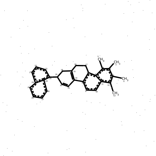 Cc1c(C)c(C)c2c3c(ccc2c1C)C1=C(CC3)CC(c2cccc3ccccc23)C=C1